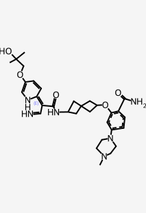 CN1CCN(c2ccc(C(N)=O)c(OC3CC4(CC(NC(=O)/C(C=N)=C5\C=CC(OCC(C)(C)O)=CN5)C4)C3)c2)CC1